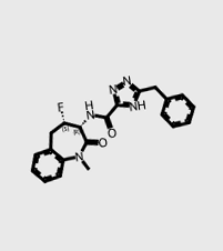 CN1C(=O)[C@@H](NC(=O)c2nnc(Cc3ccccc3)[nH]2)[C@@H](F)Cc2ccccc21